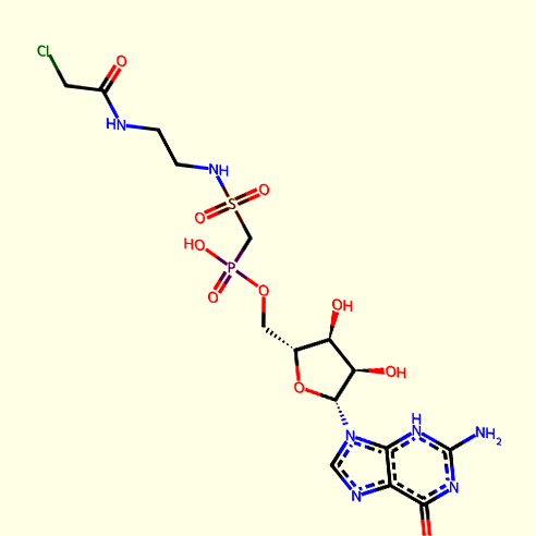 Nc1nc(=O)c2ncn([C@@H]3O[C@H](COP(=O)(O)CS(=O)(=O)NCCNC(=O)CCl)[C@@H](O)[C@H]3O)c2[nH]1